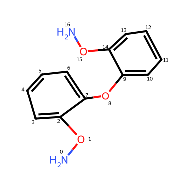 NOc1ccccc1Oc1ccccc1ON